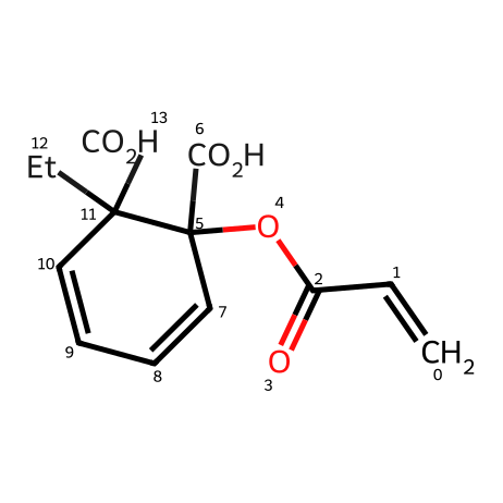 C=CC(=O)OC1(C(=O)O)C=CC=CC1(CC)C(=O)O